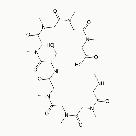 CNCC(=O)N(C)CC(=O)N(C)CC(=O)N(C)CC(=O)N[C@@H](CO)C(=O)N(C)CC(=O)N(C)CC(=O)N(C)CC(=O)N(C)CC(=O)O